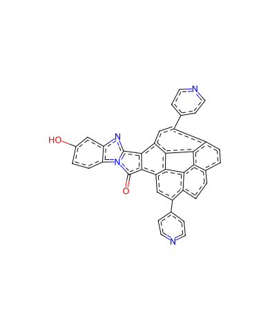 O=c1c2c3cc(-c4ccncc4)c4ccc5ccc6c(-c7ccncc7)cc(c7c6c5c4c37)c2c2nc3cc(O)ccc3n12